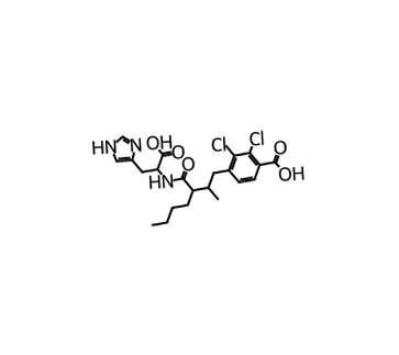 CCCCC(C(=O)NC(Cc1c[nH]cn1)C(=O)O)C(C)Cc1ccc(C(=O)O)c(Cl)c1Cl